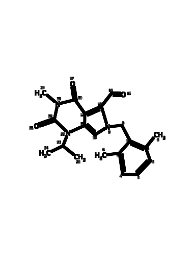 Cc1cccc(C)c1Cn1cc2c(c1C=O)c(=O)n(C)c(=O)n2C(C)C